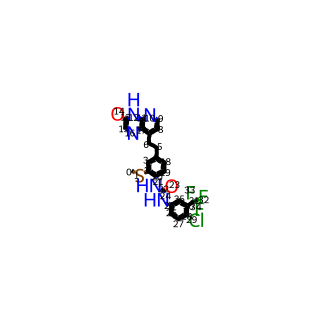 CSc1cc(CCc2ccnc3[nH]c(=O)cnc23)ccc1NC(=O)Nc1ccc(Cl)c(C(F)(F)F)c1